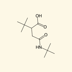 CC(C)(C)NC(=O)CC(C(=O)O)C(C)(C)C